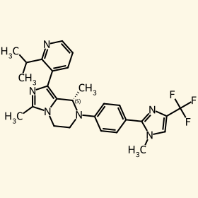 Cc1nc(-c2cccnc2C(C)C)c2n1CCN(c1ccc(-c3nc(C(F)(F)F)cn3C)cc1)[C@H]2C